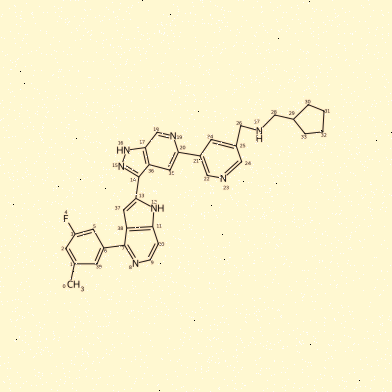 Cc1cc(F)cc(-c2nccc3[nH]c(-c4n[nH]c5cnc(-c6cncc(CNCC7CCCC7)c6)cc45)cc23)c1